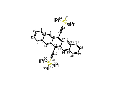 CC(C)S(C)(C#Cc1c2cc3ccccc3cc2c(C#CS(C(C)C)(C(C)C)C(C)C)c2cc3ccccc3cc12)C(C)C